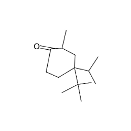 CC1CC(C(C)C)(C(C)(C)C)CCC1=O